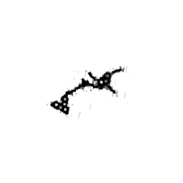 CCCCCCCCN(CCC[C@@H](C)[C@H]1CC[C@H]2C3[C@H](OCCCN)CC4C[C@H](OCCCN)CC[C@]4(C)[C@H]3C[C@H](OCCCN)[C@]12C)C(=O)CCCCCNC(=O)c1ccc(-c2c3ccc(=O)cc-3oc3cc(O)ccc23)c(C(=O)O)c1